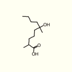 CCCCC(C)(O)CCCC(C)C(=O)O